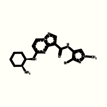 Cn1cc(NC(=O)c2cnn3ccc(N[C@@H]4CCCC[C@@H]4N)nc23)c(Br)n1